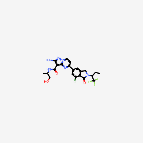 CCC(N1Cc2cc(-c3ccn4nc(N)c(C(=O)NC(C)CO)c4n3)cc(Cl)c2C1=O)C(F)(F)F